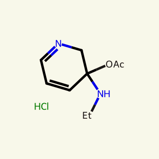 CCNC1(OC(C)=O)C=CC=NC1.Cl